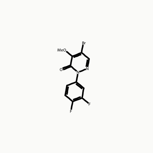 COc1c(Br)cnn(-c2ccc(F)c(F)c2)c1=O